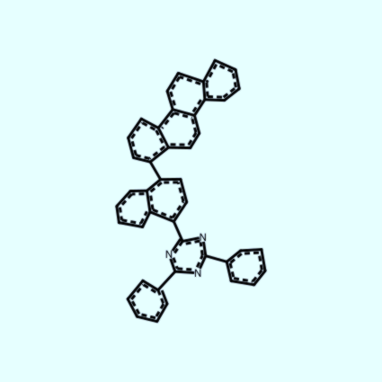 c1ccc(-c2nc(-c3ccccc3)nc(-c3ccc(-c4cccc5c4ccc4c6ccccc6ccc54)c4ccccc34)n2)cc1